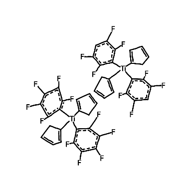 Fc1c(F)c(F)[c]([Ti]([C]2=CC=CC2)([C]2=CC=CC2)[c]2c(F)c(F)c(F)c(F)c2F)c(F)c1F.Fc1cc(F)c(F)[c]([Ti]([C]2=CC=CC2)([C]2=CC=CC2)[c]2c(F)c(F)cc(F)c2F)c1F